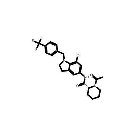 CC(=O)N1CCCC[C@@H]1C(=O)Nc1cc(Cl)c2c(c1)CCN2Cc1ccc(C(F)(F)F)cc1